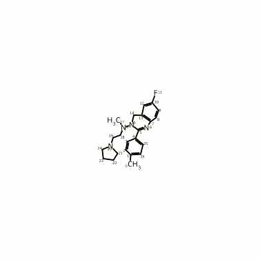 Cc1ccc(C2=Nc3ccc(F)cc3CN2N(C)CCN2CCCC2)cc1